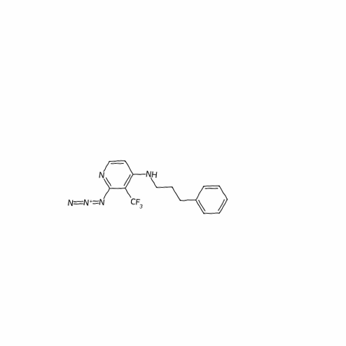 [N-]=[N+]=Nc1nccc(NCCCc2ccccc2)c1C(F)(F)F